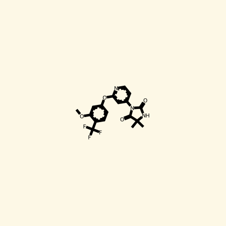 COc1cc(Oc2cc(N3C(=O)NC(C)(C)C3=O)ccn2)ccc1C(F)(F)F